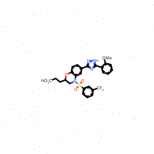 COc1ccccc1-c1nc(-c2ccc3c(c2)N(S(=O)(=O)c2cccc(C(F)(F)F)c2)CC(CCC(=O)O)O3)n[nH]1